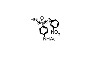 CC(=O)Nc1ccc([As](=O)(O)OO)cc1.Cc1cccc([N+](=O)[O-])c1